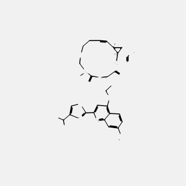 COc1ccc2c(OCC[C@@H]3NC(=O)N(C)CCCCC=C[C@@H]4C[C@@]4(C(=O)O)NC3=O)cc(-c3nc(C(C)C)cs3)nc2c1